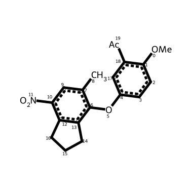 COc1ccc(Oc2c(C)cc([N+](=O)[O-])c3c2CCC3)cc1C(C)=O